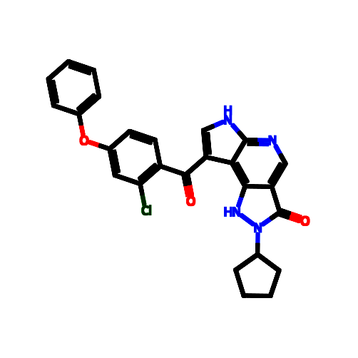 O=C(c1ccc(Oc2ccccc2)cc1Cl)c1c[nH]c2ncc3c(=O)n(C4CCCC4)[nH]c3c12